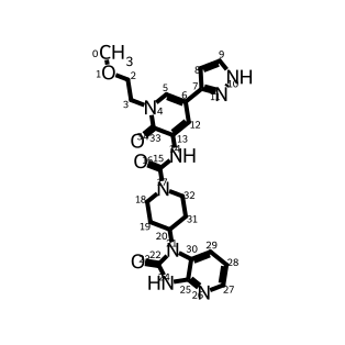 COCCn1cc(-c2cc[nH]n2)cc(NC(=O)N2CCC(n3c(=O)[nH]c4ncccc43)CC2)c1=O